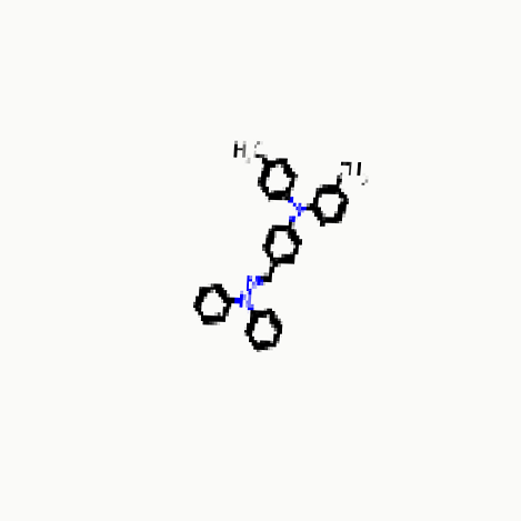 Cc1ccc(N(c2ccc(C=NN(c3ccccc3)c3ccccc3)cc2)c2cccc(C)c2)cc1